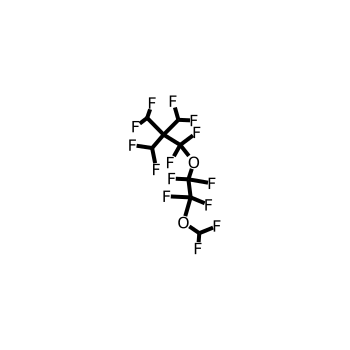 FC(F)OC(F)(F)C(F)(F)OC(F)(F)C(C(F)F)(C(F)F)C(F)F